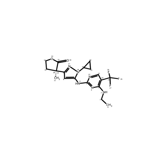 CCNc1nc(Nc2cc([C@@]3(C)CCOC3=O)nn2C2CC2)ncc1C(F)(F)F